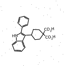 O=C(O)C1(C(=O)O)CCC(c2c(-c3ccccc3)[nH]c3ccccc23)CC1